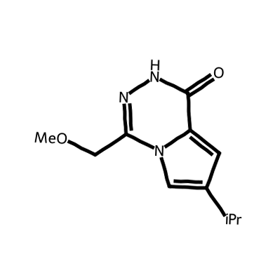 COCc1n[nH]c(=O)c2cc(C(C)C)cn12